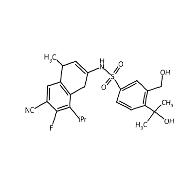 CC(C)c1c(F)c(C#N)cc2c1CC(NS(=O)(=O)c1ccc(C(C)(C)O)c(CO)c1)=CC2C